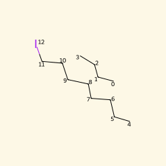 CCCC.CCCCCCCCI